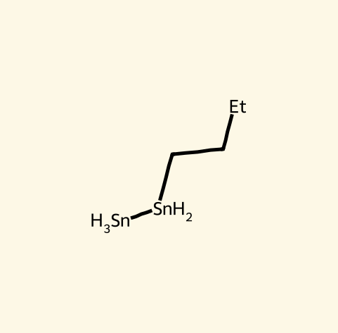 CCC[CH2][SnH2][SnH3]